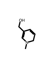 CN1C=C(CO)C=CC1